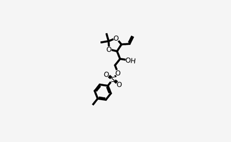 C=CC1OC(C)(C)OC1C(O)COS(=O)(=O)c1ccc(C)cc1